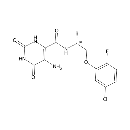 C[C@H](COc1cc(Cl)ccc1F)NC(=O)c1[nH]c(=O)[nH]c(=O)c1N